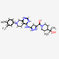 CC(C)(O)C1CCN(C(=O)C2=NN=C(Nc3ncnc4c3CCN(c3ccc(C#N)c(C(F)(F)F)c3)C4)C2)CC1